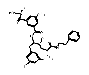 CCCN(CCC)C(=O)c1cc(C)cc(C(=O)NC(Cc2cc(F)cc(F)c2)[C@@H](O)C[C@@H](C)C(=O)NCCc2ccccc2)c1